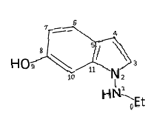 CCNn1ccc2ccc(O)cc21